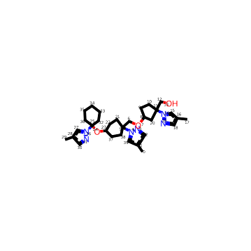 Cc1cnn(C2(COC3CCC(CO)(n4cc(C)cn4)C3)CCC(OC3(n4cc(C)cn4)CCCCC3)CC2)c1